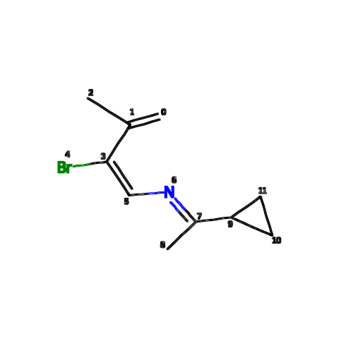 C=C(C)/C(Br)=C\N=C(/C)C1CC1